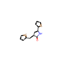 O=C1NC(c2cccs2)=CC1=Cc1cccs1